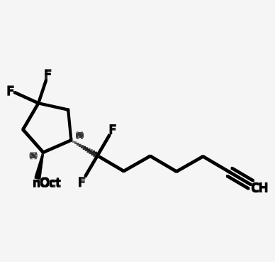 C#CCCCCC(F)(F)[C@H]1CC(F)(F)C[C@@H]1CCCCCCCC